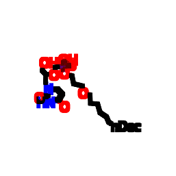 CCCCCCCCCCCCCCCCOCCCOP(=O)(O)COC(CO)Cn1ccc(=O)[nH]c1=O